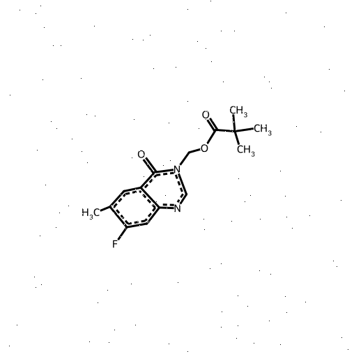 Cc1cc2c(=O)n(COC(=O)C(C)(C)C)cnc2cc1F